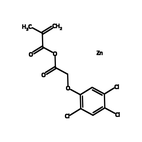 C=C(C)C(=O)OC(=O)COc1cc(Cl)c(Cl)cc1Cl.[Zn]